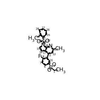 CCS(=O)(=O)c1ccc(F)c(-c2cc(C)nc3c2ccn3S(=O)(=O)c2ccccc2C)c1